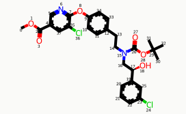 COC(=O)c1cnc(Oc2ccc(CCN(C[C@@H](O)c3cccc(Cl)c3)C(=O)OC(C)(C)C)cc2)c(Cl)c1